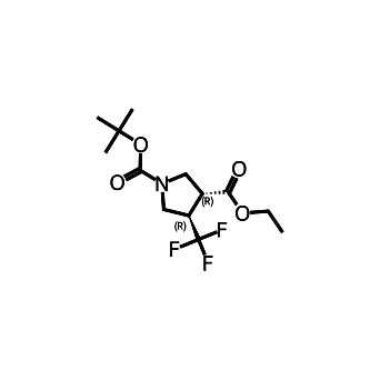 CCOC(=O)[C@H]1CN(C(=O)OC(C)(C)C)C[C@@H]1C(F)(F)F